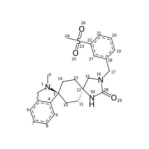 CN(C)[C@]1(c2ccccc2)CC[C@]2(CC1)CN(Cc1cccc(S(C)(=O)=O)c1)C(=O)N2